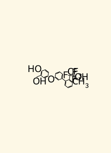 Cc1cccc(-c2cccc(Oc3ccc(O)c(CO)c3)c2)c1C(F)(C(O)(F)F)C(F)(F)F